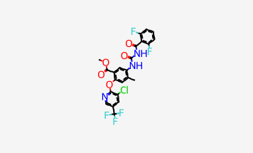 COC(=O)c1cc(NC(=O)NC(=O)c2c(F)cccc2F)c(C)cc1Oc1ncc(C(F)(F)F)cc1Cl